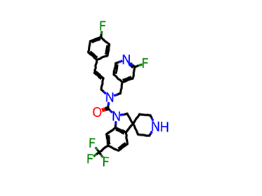 O=C(N(CC=Cc1ccc(F)cc1)Cc1ccnc(F)c1)N1CC2(CCNCC2)c2ccc(C(F)(F)F)cc21